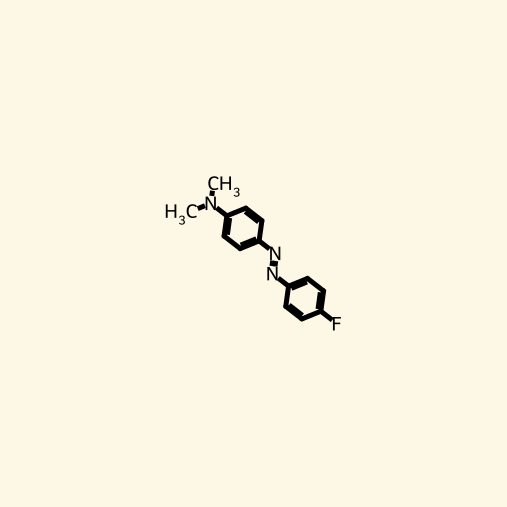 CN(C)c1ccc(/N=N/c2ccc(F)cc2)cc1